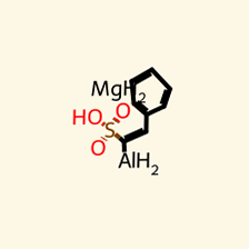 O=S(=O)(O)[C]([AlH2])=Cc1ccccc1.[MgH2]